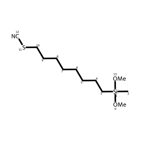 CO[Si](C)(CCCCCCCCSC#N)OC